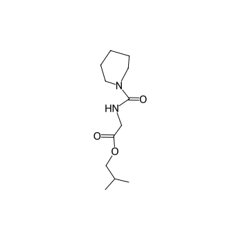 CC(C)COC(=O)CNC(=O)N1CCCCC1